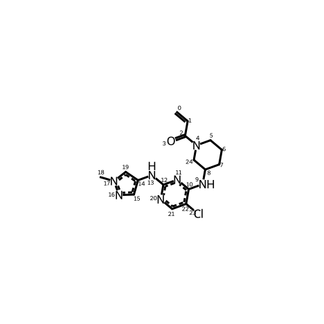 C=CC(=O)N1CCCC(Nc2nc(Nc3cnn(C)c3)ncc2Cl)C1